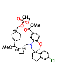 COC(=O)c1ccc2c(c1)N(C[C@@H]1CC[C@H]1C(OC)C1=CC[C@@H](COS(C)(=O)=O)CC1)CC1(CCCc3cc(Cl)ccc31)CO2